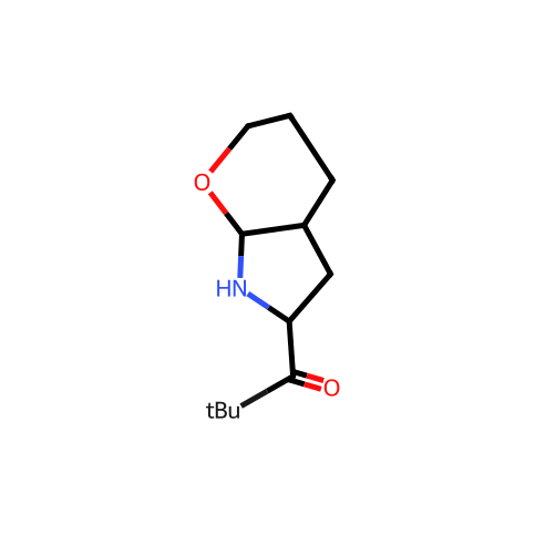 CC(C)(C)C(=O)C1CC2CCCOC2N1